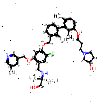 Cc1ccc(OCCCN2CCC(O)C2)c(C)c1-c1cccc(COc2cc(OCc3cncc(C#N)c3)c(CN[C@](C)(CO)C(=O)O)cc2Cl)c1C